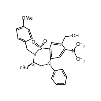 CCCC[C@@H]1CN(c2ccccc2)c2cc(N(C)C)c(CO)cc2S(=O)(=O)N1Cc1ccc(OC)cc1